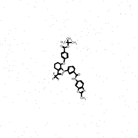 Cc1nc2ccc(NC(=O)c3cccc(-n4nc(C(F)(F)F)c5c4C(Oc4ccc(C(=O)OC(C)(C)C)cc4)CCC5)c3)cc2o1